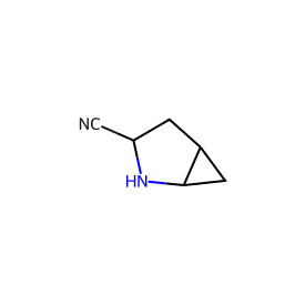 N#CC1CC2CC2N1